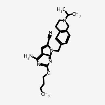 CCCCOc1nc(N)c2cc(C#N)n(Cc3ccc4c(c3)CCN(C(C)C)C4)c2n1